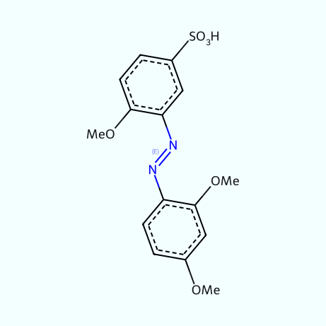 COc1ccc(/N=N/c2cc(S(=O)(=O)O)ccc2OC)c(OC)c1